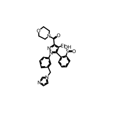 CCc1c(C(=O)N2CCOCC2)nn(-c2cccc(Cn3ccnc3)c2)c1-c1ccccc1S(=O)O